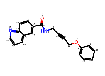 O=C(NCC#CCOc1ccccc1)c1ccc2ncccc2c1